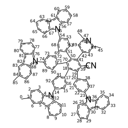 Cc1ccc2c(c1)c1ccccc1n2-c1ccc(-c2c(-c3ccc(-n4c5ccccc5c5ccccc54)cc3)c(C#N)c(-c3cc(C)nc(C)c3)c(-c3ccc(-n4c5ccccc5c5ccccc54)cc3)c2-c2ccc(-n3c4ccccc4c4cc(C)ccc43)cc2)cc1